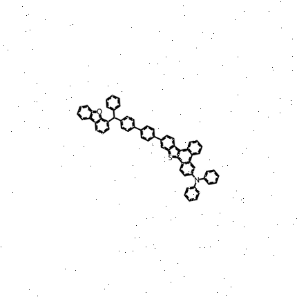 c1ccc(C(c2ccc(-c3ccc(-c4ccc5c(c4)sc4c6ccc(N(c7ccccc7)c7ccccc7)cc6c6ccccc6c54)cc3)cc2)c2cccc3c2oc2ccccc23)cc1